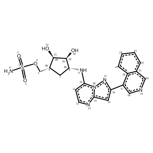 NS(=O)(=O)OC[C@H]1C[C@@H](Nc2ccnc3cc(-c4cncc5ccccc45)nn23)[C@H](O)[C@@H]1O